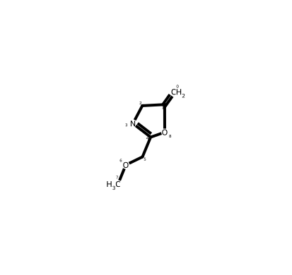 C=C1CN=C(COC)O1